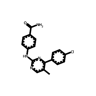 Cc1cnc(Nc2ccc(C(N)=O)cc2)nc1-c1ccc(Cl)cc1